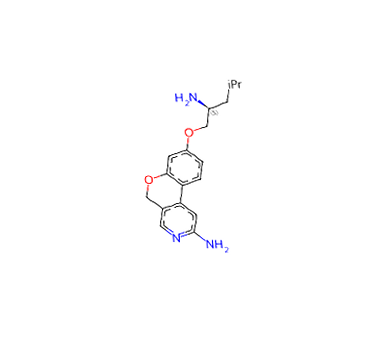 CC(C)C[C@H](N)COc1ccc2c(c1)OCc1cnc(N)cc1-2